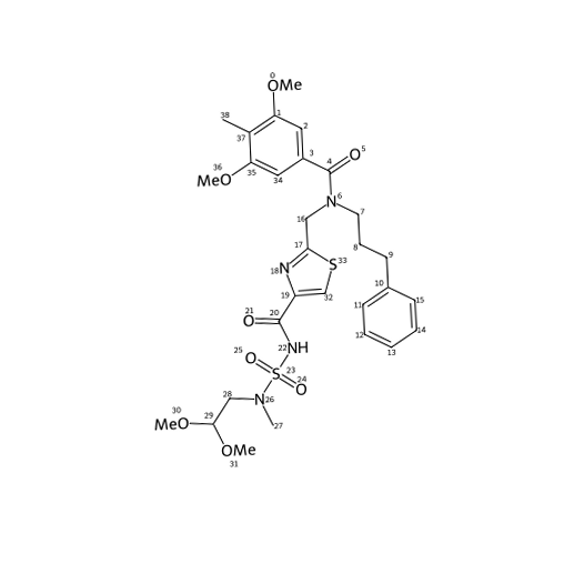 COc1cc(C(=O)N(CCCc2ccccc2)Cc2nc(C(=O)NS(=O)(=O)N(C)CC(OC)OC)cs2)cc(OC)c1C